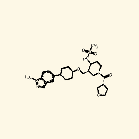 Cn1ncc2cc(C3CCC(OC[C@@H]4CN(C(=O)[C@@H]5CCOC5)CC[C@@H]4NS(C)(=O)=O)CC3)ccc21